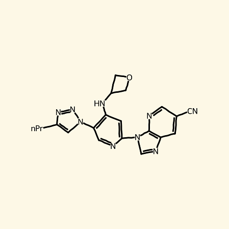 CCCc1cn(-c2cnc(-n3cnc4cc(C#N)cnc43)cc2NC2COC2)nn1